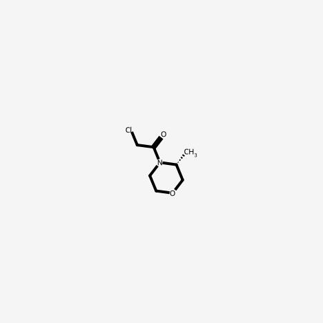 C[C@@H]1COCCN1C(=O)CCl